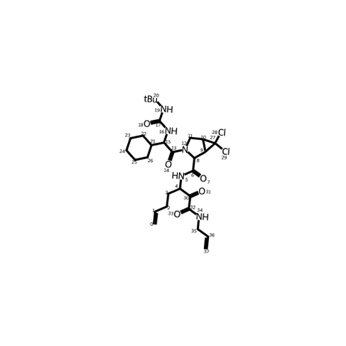 C=CCCC(NC(=O)C1C2C(CN1C(=O)C(NC(=O)NC(C)(C)C)C1CCCCC1)C2(Cl)Cl)C(=O)C(=O)NCC=C